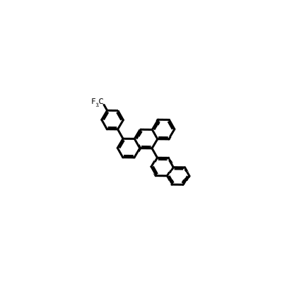 FC(F)(F)c1ccc(-c2cccc3c(-c4ccc5ccccc5c4)c4ccccc4cc23)cc1